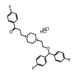 Cl.Cl.O=C(CCN1CCN(CCOC(c2ccc(F)cc2)c2ccc(F)cc2)CC1)c1ccc(F)cc1